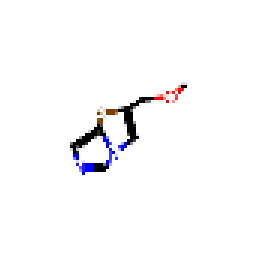 COCc1cn2cncc2s1